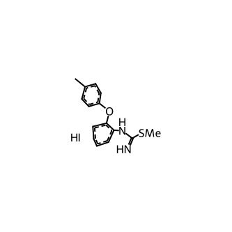 CSC(=N)Nc1ccccc1Oc1ccc(C)cc1.I